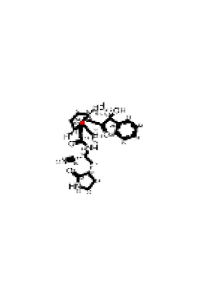 C[C@@](O)(C(=O)N1[C@H]2CC[C@@H]([C@@H]1C(=O)N[C@@H](C#N)C[C@@H]1CCNC1=O)C(F)(F)C2)c1ccccc1